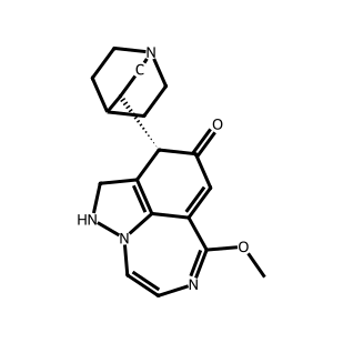 COC1=NC=CN2NCC3=C2C1=CC(=O)[C@H]3C1CN2CCC1CC2